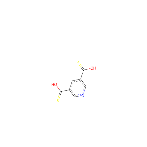 OC(=S)c1cncc(C(O)=S)c1